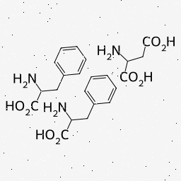 NC(CC(=O)O)C(=O)O.NC(Cc1ccccc1)C(=O)O.NC(Cc1ccccc1)C(=O)O